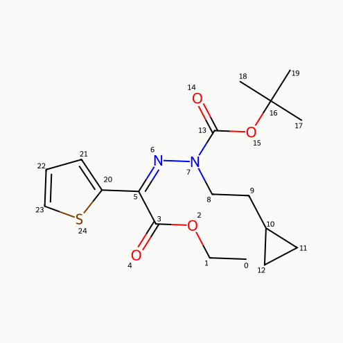 CCOC(=O)/C(=N\N(CCC1CC1)C(=O)OC(C)(C)C)c1cccs1